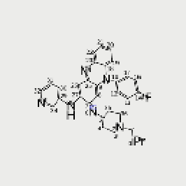 CC(C)CN1CCC(/N=c2\cc3n(-c4ccc(F)cc4)c4ccccc4nc-3cc2Nc2cccnc2)CC1